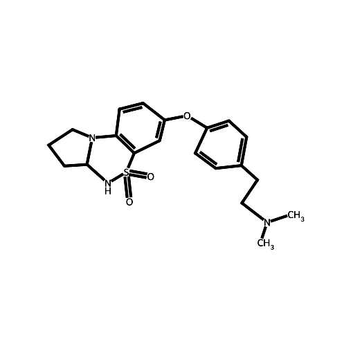 CN(C)CCc1ccc(Oc2ccc3c(c2)S(=O)(=O)NC2CCCN32)cc1